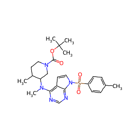 Cc1ccc(S(=O)(=O)n2ccc3c(N(C)C4CN(C(=O)OC(C)(C)C)CCC4C)ncnc32)cc1